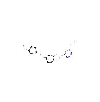 CNCc1cncc(C2Nc3cc(OCc4ccc(OC)cn4)ccc3O2)c1